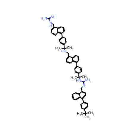 CC(C)(C)c1ccc(-c2ccc(C/N=C(/N)NC(C)(C)c3ccc(-c4cccc5c(CNC(C)(C)c6ccc(-c7cccc8c(CNC(=N)N)cccc78)cc6)cccc45)cc3)c3ccccc23)cc1